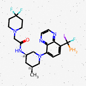 C[C@H]1C[C@@H](NC(=O)CN2CCC(F)(F)CC2)CN(c2ccc(C(F)(P)I)c3nccnc23)C1